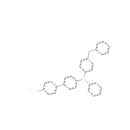 CNc1ccc(-c2ccc(N(c3ccccc3)c3ccc(Cc4ccccc4)cc3)cc2)cc1